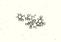 CCC(C)C(NC(=O)CCc1ccccc1O)C(=O)NC1(C(=O)O)CCc2[nH]c3c(Cl)cc(Cl)cc3c2C1